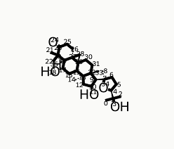 CC(C)(O)[C@@H]1CC[C@](C)([C@H]2[C@@H](O)C[C@@]3(C)C4C[C@H](O)[C@H]5C(C)(C)C(=O)CC[C@@]56C[C@@]46CC[C@]23C)O1